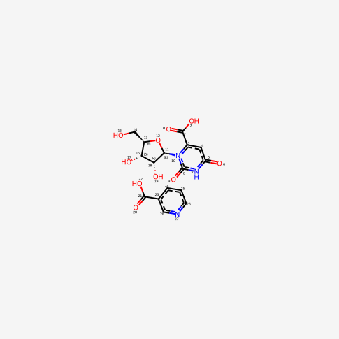 O=C(O)c1cc(=O)[nH]c(=O)n1[C@@H]1O[C@H](CO)[C@@H](O)[C@H]1O.O=C(O)c1cccnc1